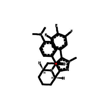 CN(C)c1ccc(C(=O)N2[C@H]3CCC[C@@H]2c2nn(C)c(-c4cc(F)c(F)c(F)c4)c2C3)cn1